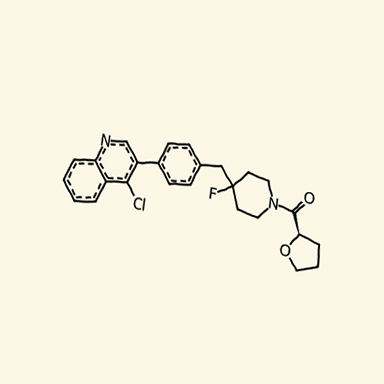 O=C([C@H]1CCCO1)N1CCC(F)(Cc2ccc(-c3cnc4ccccc4c3Cl)cc2)CC1